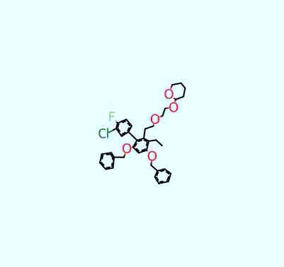 CCc1c(OCc2ccccc2)cc(OCc2ccccc2)c(-c2ccc(F)c(Cl)c2)c1CCOCCOC1CCCCO1